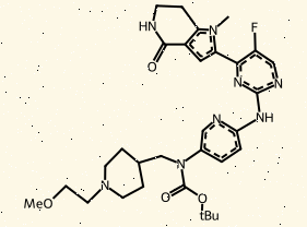 COCCN1CCC(CN(C(=O)OC(C)(C)C)c2ccc(Nc3ncc(F)c(-c4cc5c(n4C)CCNC5=O)n3)nc2)CC1